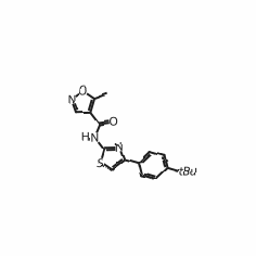 Cc1oncc1C(=O)Nc1nc(-c2ccc(C(C)(C)C)cc2)cs1